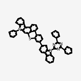 c1ccc(-c2nc(-c3ccccc3)nc(-n3c4ccccc4c4ccc(-c5ccc6c(c5)Sc5cc7c(c8cccc-6c58)c5ccccc5n7-c5ccccc5)cc43)n2)cc1